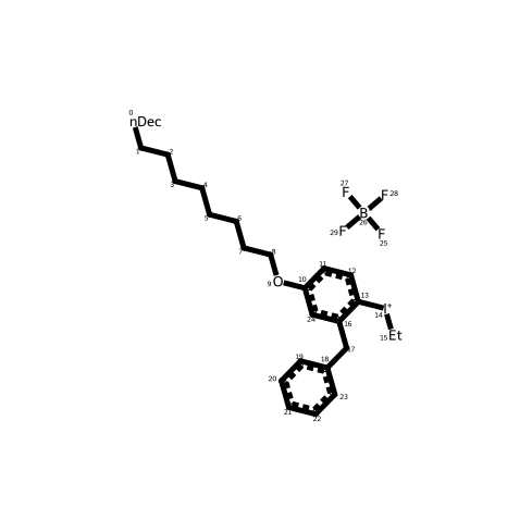 CCCCCCCCCCCCCCCCCCOc1ccc([I+]CC)c(Cc2ccccc2)c1.F[B-](F)(F)F